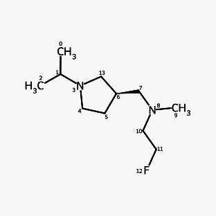 CC(C)N1CC[C@H](CN(C)CCF)C1